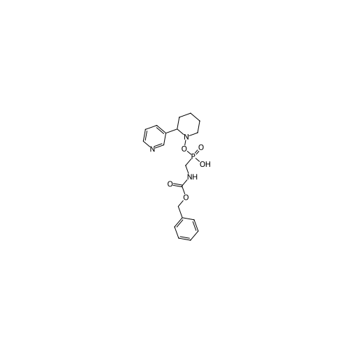 O=C(NCP(=O)(O)ON1CCCCC1c1cccnc1)OCc1ccccc1